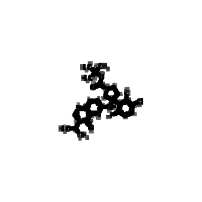 CC(C)n1cnc2ccc(NC3(c4c(F)ccc(Cl)c4Cl)CCN(C(=O)OC(C)(C)C)C3)nc2c1=O